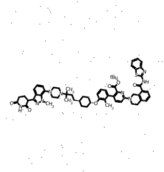 Cc1c(O[C@H]2CC[C@H](CCC(C)(C)N3CCN(c4cccc5c(C6CCC(=O)NC6=O)nn(C)c45)CC3)CC2)cccc1-c1ccc(N2CCc3cccc(C(=O)Nc4nc5ccccc5s4)c3C2)nc1C(=O)OC(C)(C)C